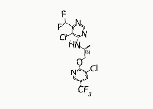 C[C@@H](COc1ncc(C(F)(F)F)cc1Cl)Nc1ncnc(C(F)F)c1Cl